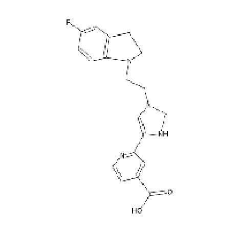 O=C(O)c1ccnc(C2=CN(CCN3CCc4cc(F)ccc43)CN2)c1